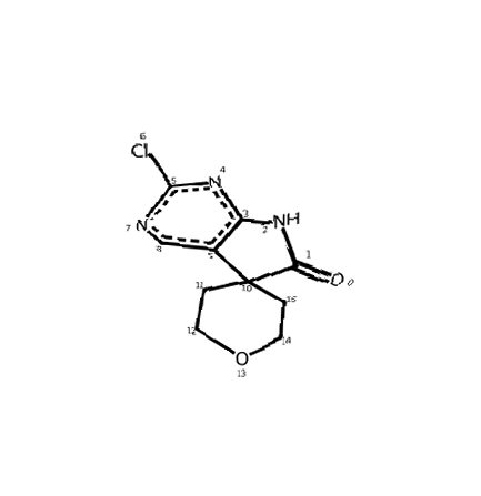 O=C1Nc2nc(Cl)ncc2C12CCOCC2